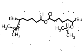 C[SiH](C)OC(CCCCC(Cl)OC(Cl)CCCCC(O[SiH](C)C)C(C)(C)C)C(C)(C)C